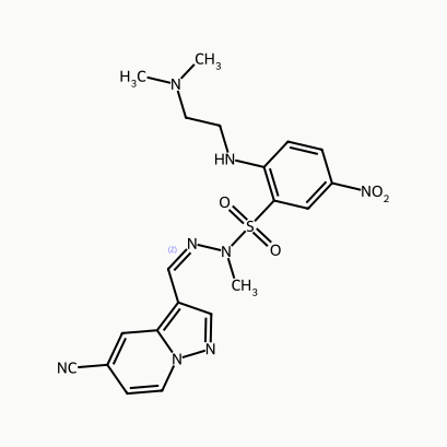 CN(C)CCNc1ccc([N+](=O)[O-])cc1S(=O)(=O)N(C)/N=C\c1cnn2ccc(C#N)cc12